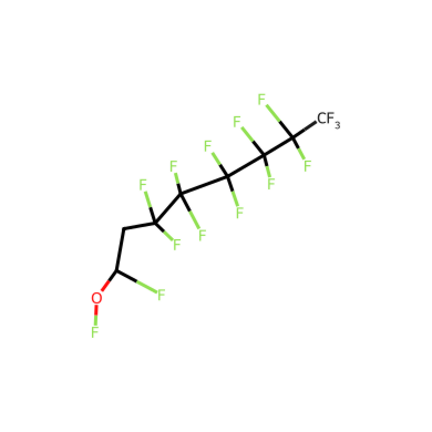 FOC(F)CC(F)(F)C(F)(F)C(F)(F)C(F)(F)C(F)(F)C(F)(F)F